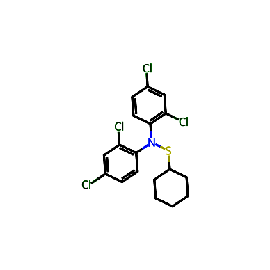 Clc1ccc(N(SC2CCCCC2)c2ccc(Cl)cc2Cl)c(Cl)c1